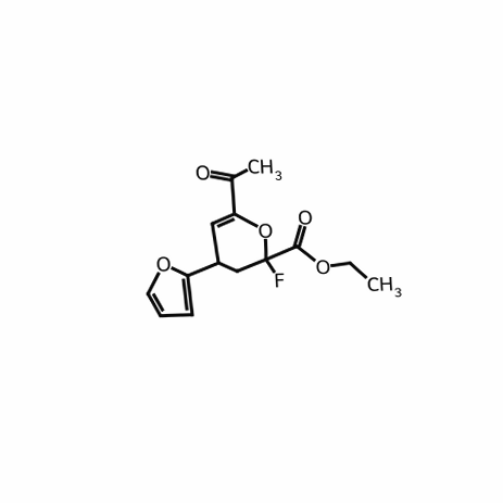 CCOC(=O)C1(F)CC(c2ccco2)C=C(C(C)=O)O1